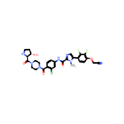 Cn1c(-c2ccc(OCC#N)c(F)c2F)cnc1C(=O)Nc1ccc(C(=O)N2CCN(C(=O)[C@H]3NCC[C@@H]3O)CC2)c(Cl)c1